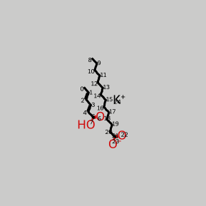 C/C=C/C=C/C(=O)O.CCCCCCCCCCCCCC(=O)[O-].[K+]